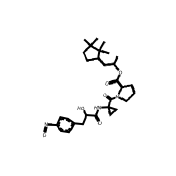 CC(CC1CCC(C)(C)C1(C)C)OC(=O)C1CCCN1C(=O)C1(NC(=O)C(O)Cc2ccc(N=O)cc2)CC1